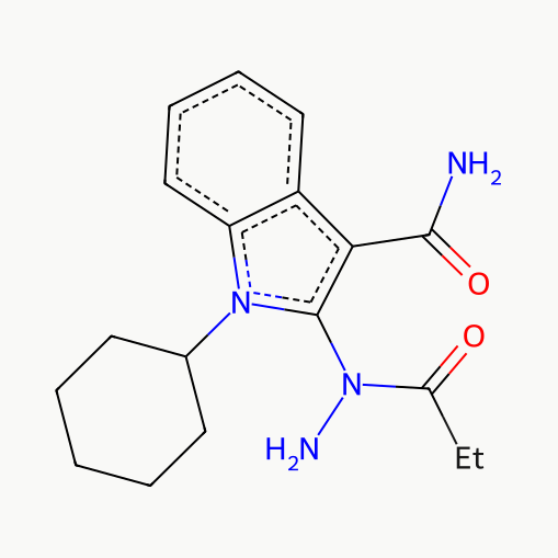 CCC(=O)N(N)c1c(C(N)=O)c2ccccc2n1C1CCCCC1